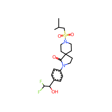 CC(C)CS(=O)(=O)N1CCC2(CCN(c3ccc(C(O)C(F)F)cc3)C2=O)CC1